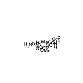 COc1cc2c(cc1OCc1cccc(COc3cc4c(cc3OC)C(=O)N3Cc5ccccc5C[C@H]3CN4)n1)N=C[C@@H]1Cc3ccc(N)cc3CN1C2=O